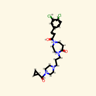 O=C(/C=C/c1ccc(Cl)c(Cl)c1)N1CCC(=O)N(CCCN2CCN(C(=O)C3CC3)CC2)CC1